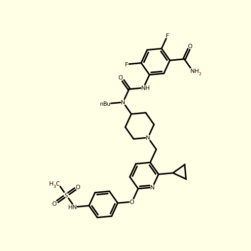 CCCCN(C(=O)Nc1cc(C(N)=O)c(F)cc1F)C1CCN(Cc2ccc(Oc3ccc(NS(C)(=O)=O)cc3)nc2C2CC2)CC1